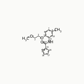 COCCOc1ccc(C)cc1NC(=O)c1cccs1